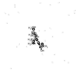 C=C1C=C(F)c2cc(Oc3cc(N4CCC5(CC4)CC(N4CCN(CCO)C[C@H]4c4ccccc4C(C)C)C5)ccc3C(=O)NS(=O)(=O)c3cnc(NC[C@H]4CC[C@](C)(O)CC4)c([NH+](C)[O-])c3)c(OC)nc21